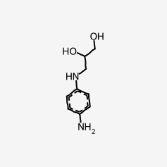 Nc1ccc(NCC(O)CO)cc1